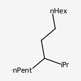 CCCC[CH]C(CCCCCCCC)C(C)C